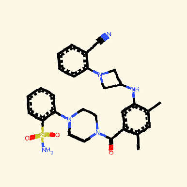 Cc1cc(C)c(C(=O)N2CCN(c3ccccc3S(N)(=O)=O)CC2)cc1NC1CN(c2ccccc2C#N)C1